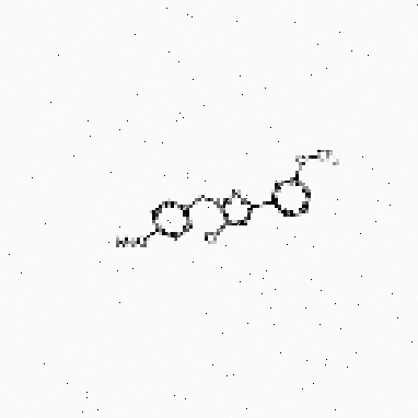 COc1ccc(Cn2nc(-c3cccc(OC(F)(F)F)c3)cc2Cl)cc1